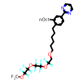 CCCCCCCCc1cc(-c2ncccn2)ccc1CCCCCCOCC(F)(F)OC(F)(F)C(F)(F)OC(F)(F)C(F)(F)OC(F)(F)F